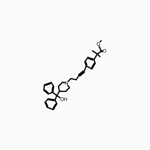 COC(=O)C(C)(C)c1ccc(C#CCCN2CCC(C(O)(c3ccccc3)c3ccccc3)CC2)cc1